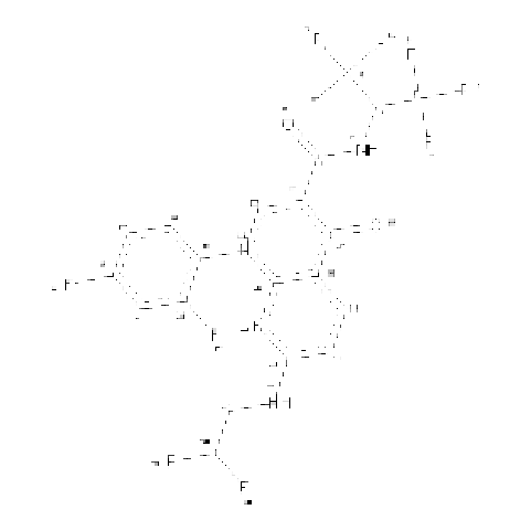 O=C(NC(C(F)(F)F)C(F)(F)F)c1cn(-c2ccc(F)cc2F)c2nc(NCC(F)F)ccc2c1=O